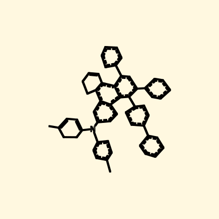 CC1=CC=C(N(c2ccc(C)cc2)c2ccc3c(c2)c2c(c4c(-c5ccccc5)cc(-c5ccccc5)c(-c5ccc(-c6ccccc6)cc5)c43)C=CCC2)CC1